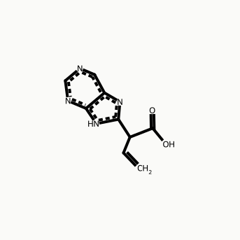 C=CC(C(=O)O)c1nc2cncnc2[nH]1